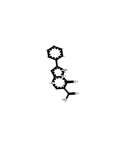 O=C(O)c1cnc2cc(-c3ccccc3)[nH]n2c1=O